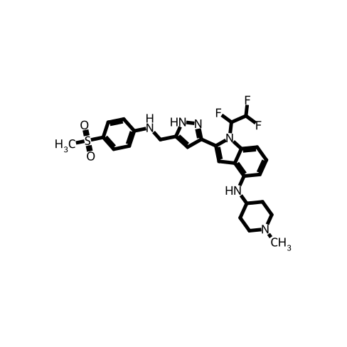 CN1CCC(Nc2cccc3c2cc(-c2cc(CNc4ccc(S(C)(=O)=O)cc4)[nH]n2)n3C(F)C(F)F)CC1